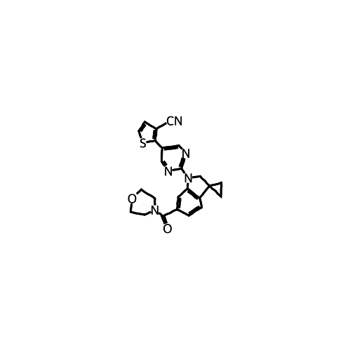 N#Cc1ccsc1-c1cnc(N2CC3(CC3)c3ccc(C(=O)N4CCOCC4)cc32)nc1